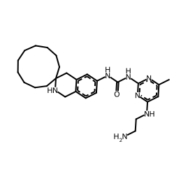 Cc1cc(NCCN)nc(NC(=O)Nc2ccc3c(c2)CC2(CCCCCCCCCC2)NC3)n1